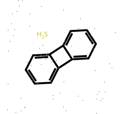 S.c1ccc2c(c1)-c1ccccc1-2